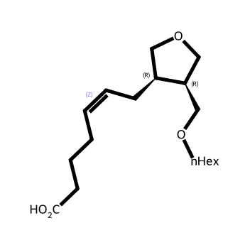 CCCCCCOC[C@@H]1COC[C@@H]1C/C=C\CCCC(=O)O